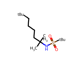 CC(C)(C)CCCCC(C)(C)NS(=O)(=O)C(C)(C)C